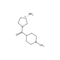 CN1CCC(C(=O)N2CC[C@H](N)C2)CC1